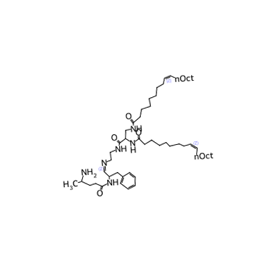 CCCCCCCC/C=C\CCCCCCCC(=O)NCC(NC(=O)CCCCCCC/C=C\CCCCCCCC)C(=O)NCC/N=C\C(Cc1ccccc1)NC(=O)CCC(C)N